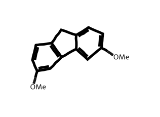 COc1ccc2c(c1)-c1cc(OC)ccc1C2